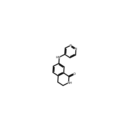 O=C1NCCc2ccc(Nc3ccnnc3)cc21